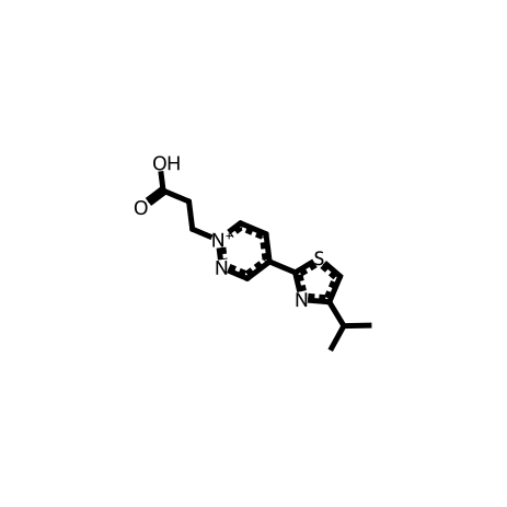 CC(C)c1csc(-c2cc[n+](CCC(=O)O)nc2)n1